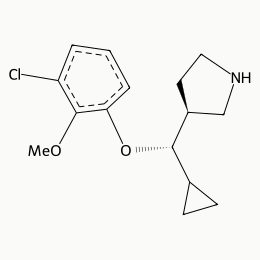 COc1c(Cl)cccc1O[C@@H](C1CC1)[C@H]1CCNC1